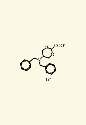 O=C([O-])[C@H]1OC[C@@H](N(Cc2ccccc2)Cc2ccccc2)CO1.[Li+]